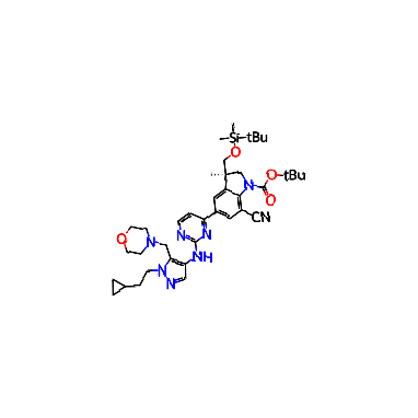 CC(C)(C)OC(=O)N1C[C@](C)(CO[Si](C)(C)C(C)(C)C)c2cc(-c3ccnc(Nc4cnn(CCC5CC5)c4CN4CCOCC4)n3)cc(C#N)c21